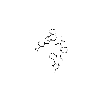 Cc1csc([C@H]2COCN2C(=O)c2cccc(C(=O)N[C@@H](C)[C@@H](CNCc3cccc(C(F)(F)F)c3)c3ccccc3O)c2)n1